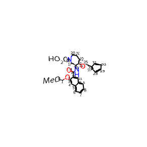 COCOc1cc2ccccc2cc1C(=O)N[C@@H]1CN(C(=O)O)CCC[C@H]1OCc1ccccc1